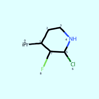 CC(C)C1CCNC(Cl)C1F